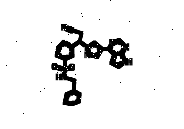 N#CCC(c1cccc(S(=O)(=O)NCc2ccccc2)c1)n1cc(-c2ncnc3[nH]ccc23)cn1